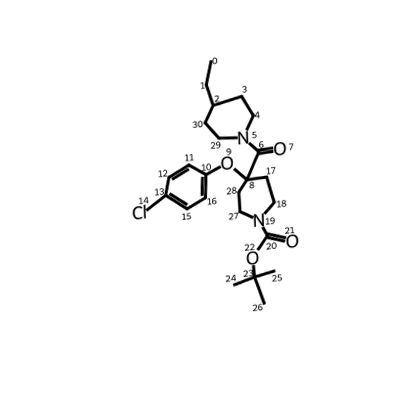 CCC1CCN(C(=O)C2(Oc3ccc(Cl)cc3)CCN(C(=O)OC(C)(C)C)CC2)CC1